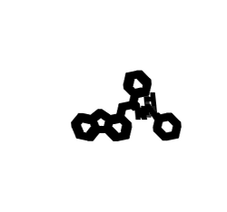 c1ccc(C(Cc2cccc3c2Cc2ccccc2-3)=NNC2CCCCC2)cc1